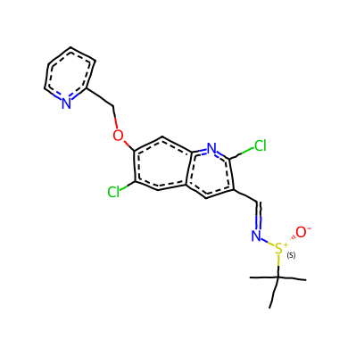 CC(C)(C)[S@@+]([O-])N=Cc1cc2cc(Cl)c(OCc3ccccn3)cc2nc1Cl